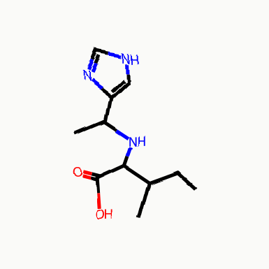 CCC(C)C(NC(C)c1c[nH]cn1)C(=O)O